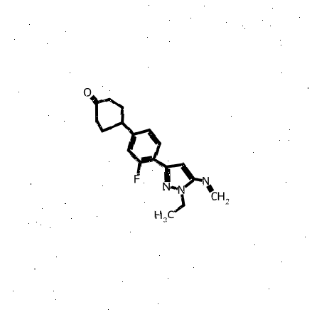 C=Nc1cc(-c2ccc(C3CCC(=O)CC3)cc2F)nn1CC